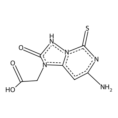 Nc1cc2n(CC(=O)O)c(=O)[nH]n2c(=S)n1